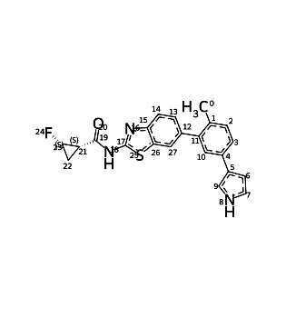 Cc1ccc(-c2cc[nH]c2)cc1-c1ccc2nc(NC(=O)[C@@H]3C[C@@H]3F)sc2c1